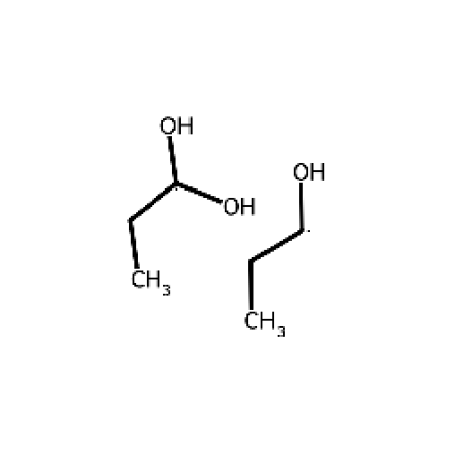 CC[CH]O.CC[C](O)O